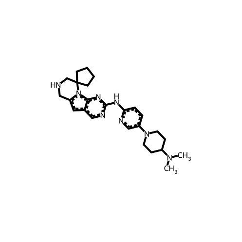 CN(C)C1CCN(c2ccc(Nc3ncc4cc5n(c4n3)C3(CCCC3)CNC5)nc2)CC1